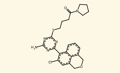 Nc1nc(SCCCC(=O)N2CCCC2)nc(-c2c(Cl)cc3c4c(cccc24)COC3)n1